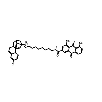 CC1C=C2C3CC=C4C=C(Cl)C=NC42C=C(NCCCCCCCCCNC(=O)c2cc(O)c4c(c2)C(=O)c2cccc(O)c2C4=O)C(C1)C3